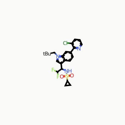 CC(C)(C)Cn1cc(C(NS(=O)(=O)C2CC2)C(F)F)c2ccc(-c3ncccc3Cl)cc21